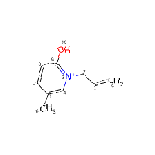 C=CC[n+]1cc(C)ccc1O